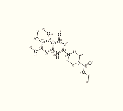 CCOC(=O)N1CCN(c2nc(=O)c3c(OC)c(OC)c(OC)cc3[nH]2)CC1